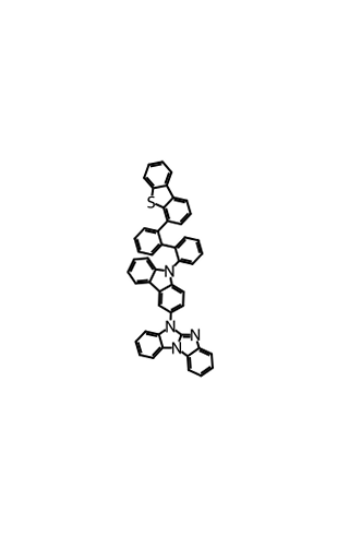 c1ccc(-c2cccc3c2sc2ccccc23)c(-c2ccccc2-n2c3ccccc3c3cc(-n4c5ccccc5n5c6ccccc6nc45)ccc32)c1